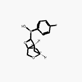 OB(c1ccc(F)cc1)C1OC23CO[C@H](CO2)C[C@H]13